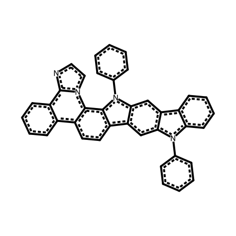 c1ccc(-n2c3ccccc3c3cc4c(cc32)c2ccc3c5ccccc5c5nccn5c3c2n4-c2ccccc2)cc1